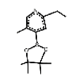 CCc1cc(B2OC(C)(C)C(C)(C)O2)c(C)cn1